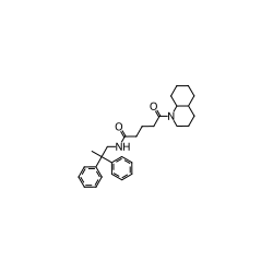 CC(CNC(=O)CCCC(=O)N1CCCC2CCCCC21)(c1ccccc1)c1ccccc1